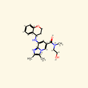 Cc1nc2c(NC3CCOc4ccccc43)cc(C(=O)N(C)CCO)cn2c1C